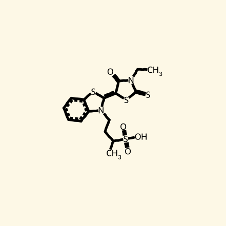 CCN1C(=O)C(=C2Sc3ccccc3N2CCC(C)S(=O)(=O)O)SC1=S